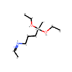 C/C=N\CCC[Si](C)(OCC)OCC